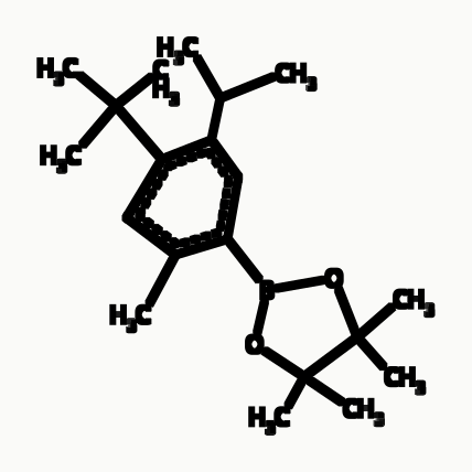 Cc1cc(C(C)(C)C)c(C(C)C)cc1B1OC(C)(C)C(C)(C)O1